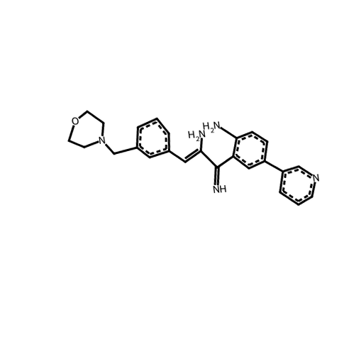 N=C(/C(N)=C/c1cccc(CN2CCOCC2)c1)c1cc(-c2cccnc2)ccc1N